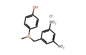 C[S+](Cc1cc([N+](=O)[O-])cc([N+](=O)[O-])c1)c1ccc(O)cc1.[Cl-]